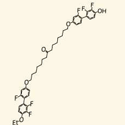 CCOc1ccc(-c2ccc(OCCCCCCCC(=O)CCCCCCCOc3ccc(-c4ccc(O)c(F)c4F)c(F)c3)cc2F)c(F)c1F